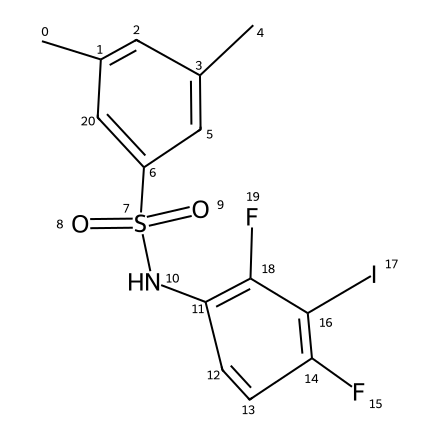 Cc1cc(C)cc(S(=O)(=O)Nc2ccc(F)c(I)c2F)c1